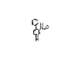 O=CNC1=CNCC=C1c1ccccc1